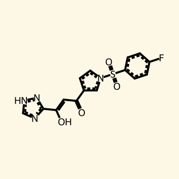 O=C(C=C(O)c1nc[nH]n1)c1ccn(S(=O)(=O)c2ccc(F)cc2)c1